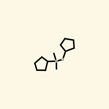 C[Si](C)(OC1CCCC1)C1CCCC1